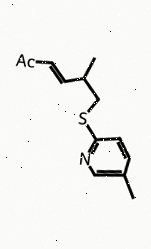 CC(=O)/C=C/C(C)CSc1ccc(C)cn1